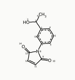 CC(O)c1cccc(N2C(=O)C=CC2=O)c1